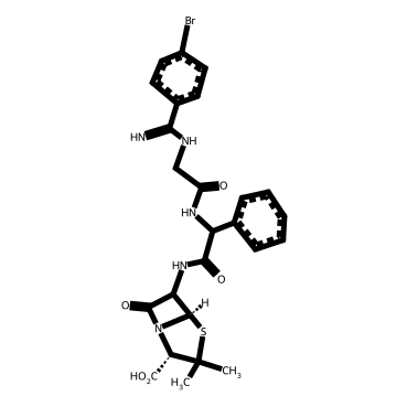 CC1(C)S[C@@H]2C(NC(=O)C(NC(=O)CNC(=N)c3ccc(Br)cc3)c3ccccc3)C(=O)N2[C@H]1C(=O)O